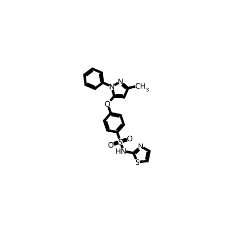 Cc1cc(Oc2ccc(S(=O)(=O)Nc3nccs3)cc2)n(-c2ccccc2)n1